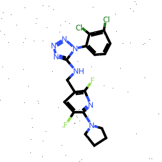 Fc1cc(CNc2nnnn2-c2cccc(Cl)c2Cl)c(F)nc1N1CCCC1